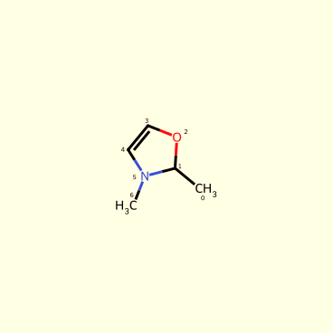 CC1OC=CN1C